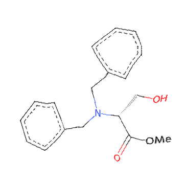 COC(=O)[C@@H](CO)N(Cc1ccccc1)Cc1ccccc1